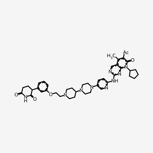 CC(=O)c1c(C)c2cnc(Nc3ccc(N4CCN(C5CCN(CCOc6cccc(C7CCC(=O)NC7=O)c6)CC5)CC4)cn3)nc2n(C2CCCC2)c1=O